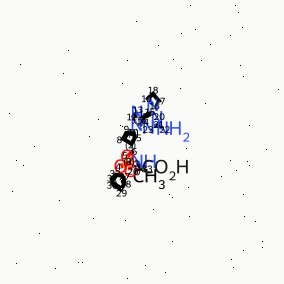 CC(N[P@@](=O)(OC[C@@H]1C=C[C@H](n2cnc3c(N4CCC4)nc(N)nc32)C1)Oc1ccccc1)C(=O)O